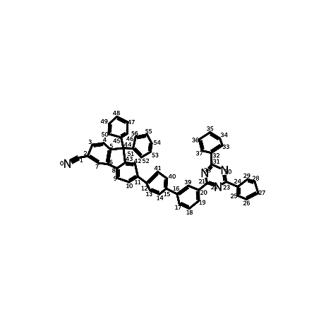 N#Cc1ccc2c(c1)-c1ccc(-c3ccc(-c4cccc(-c5nc(-c6ccccc6)nc(-c6ccccc6)n5)c4)cc3)cc1C2(c1ccccc1)c1ccccc1